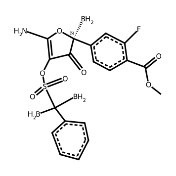 BC(B)(c1ccccc1)S(=O)(=O)OC1=C(N)O[C@@](B)(c2ccc(C(=O)OC)c(F)c2)C1=O